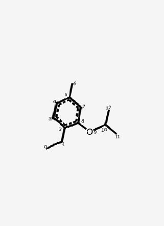 CCc1ccc(C)cc1OC(C)C